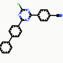 N#Cc1ccc(-c2nc(Cl)nc(-c3ccc(-c4ccccc4)cc3)n2)cc1